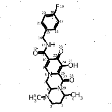 CC1CCN(C)C2Cn3cc(C(=O)NCc4ccc(F)cc4)c(=O)c(O)c3C(=O)N12